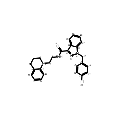 O=C(NCCN1CCCc2ccccc21)c1nn(Cc2ccc(Cl)cc2)c2ccccc12